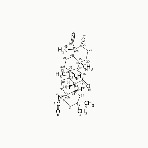 CC1(C)CC[C@]2(N=C=O)CC[C@]3(C)[C@H](C(=O)C=C4[C@@]5(C)CCC(=O)[C@@](C)(C#N)C5CC[C@]43C)[C@@H]2C1